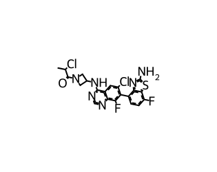 CC(Cl)C(=O)N1CC(Nc2ncnc3c(F)c(-c4ccc(F)c5sc(N)nc45)c(Cl)cc23)C1